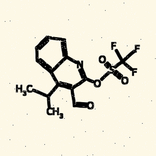 CC(C)c1c(C=O)c(OS(=O)(=O)C(F)(F)F)nc2ccccc12